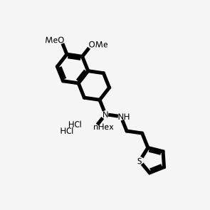 CCCCCCN(NCCc1cccs1)C1CCc2c(ccc(OC)c2OC)C1.Cl.Cl